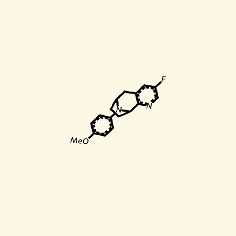 COc1ccc(N2C3CCC2c2ncc(F)cc2C3)cc1